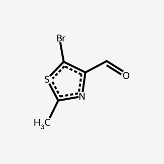 Cc1nc(C=O)c(Br)s1